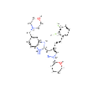 Fc1cccc(/C=C/c2cn(C3CCCCO3)nc2-c2nc3cc(CN4CCOCC4)ccc3[nH]2)c1F